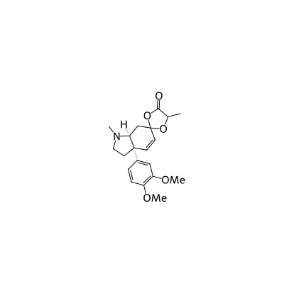 COc1ccc([C@@]23C=CC4(C[C@@H]2N(C)CC3)OC(=O)C(C)O4)cc1OC